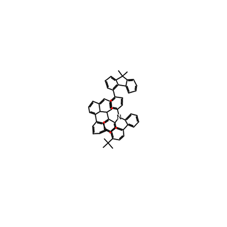 CC(C)(C)c1ccc(-c2ccccc2N(c2ccc(-c3cccc4c3-c3ccccc3C4(C)C)cc2)c2ccccc2C2C=CC=C3C=CC=C(c4ccccc4)C32)cc1